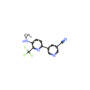 CNc1ccc(-c2cncc(C#N)c2)nc1C(F)(F)F